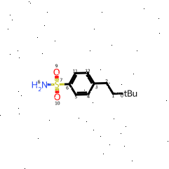 CC(C)(C)C[CH]c1ccc(S(N)(=O)=O)cc1